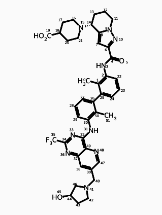 Cc1c(NC(=O)c2cc3n(n2)CCC[C@H]3N2CCC(C(=O)O)CC2)cccc1-c1cccc(Nc2nc(C(F)(F)F)nc3cc(CN4CC[C@@H](O)C4)cnc23)c1C